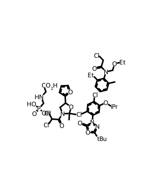 CC(C)Oc1cc(-n2nc(C(C)(C)C)oc2=O)c(Cl)cc1Cl.CC1(C)OC(c2ccco2)CN1C(=O)C(Cl)Cl.CCOCN(C(=O)CCl)c1c(C)cccc1CC.O=C(O)CNCP(=O)(O)O